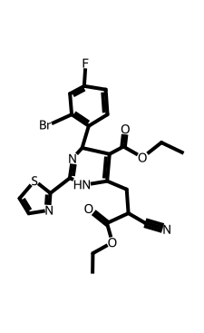 CCOC(=O)C1=C(CC(C#N)C(=O)OCC)NC(c2nccs2)=NC1c1ccc(F)cc1Br